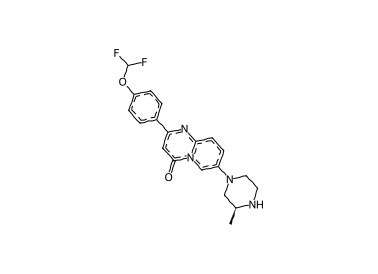 C[C@H]1CN(c2ccc3nc(-c4ccc(OC(F)F)cc4)cc(=O)n3c2)CCN1